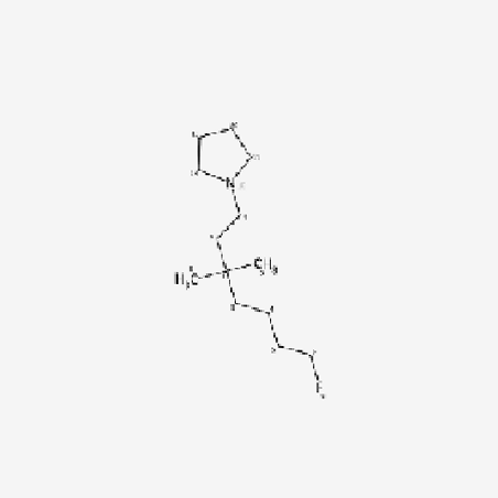 CC(C)(CCCCF)CCN1CCCC1